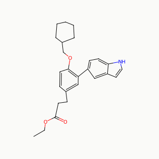 CCOC(=O)CCc1ccc(OCC2CCCCC2)c(-c2ccc3[nH]ccc3c2)c1